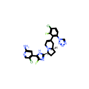 Nc1cc(-c2[nH]c([C@@H]3CC[C@@H]4CC(c5c(-n6cnnn6)ccc(Cl)c5F)=CCN43)nc2F)c(Cl)cn1